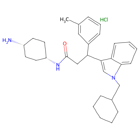 Cc1cccc(C(CC(=O)N[C@H]2CC[C@@H](N)CC2)c2cn(CC3CCCCC3)c3ccccc23)c1.Cl